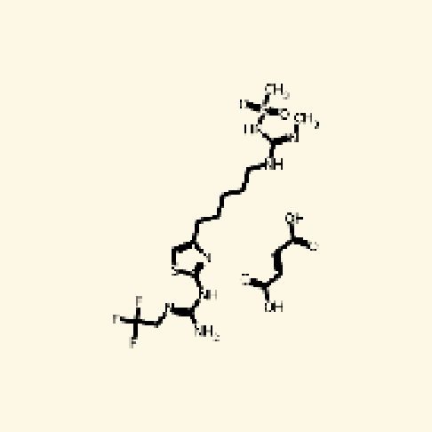 CN=C(NCCCCCc1csc(NC(N)=NCC(F)(F)F)n1)NS(C)(=O)=O.O=C(O)C=CC(=O)O